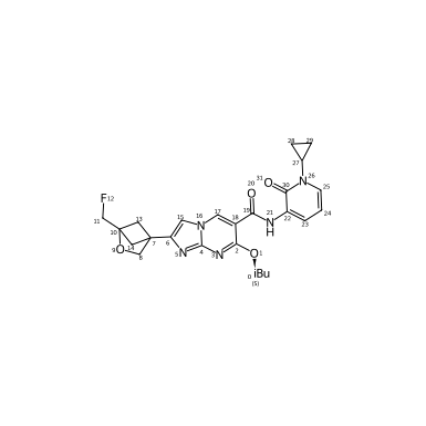 CC[C@H](C)Oc1nc2nc(C34COC(CF)(C3)C4)cn2cc1C(=O)Nc1cccn(C2CC2)c1=O